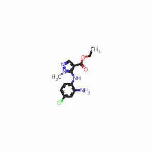 CCOC(=O)c1cnn(C)c1Nc1ccc(Cl)cc1N